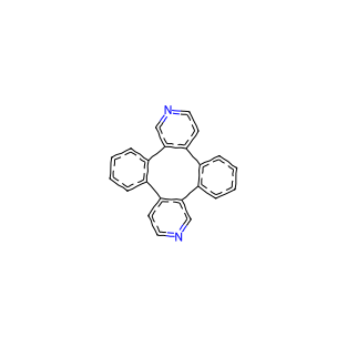 c1ccc2c(c1)-c1ccncc1-c1ccccc1-c1ccncc1-2